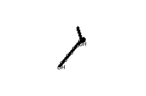 CCCCCCCCCc1ccccc1OC(O)COCCOCCOCCOCCOCCOCCO